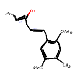 COc1cc(OC)c(OC)cc1/C=C/C(O)=C/C(C)=O